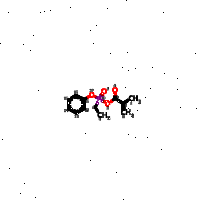 C=C(C)C(=O)OP(=O)(CC)Oc1ccccc1